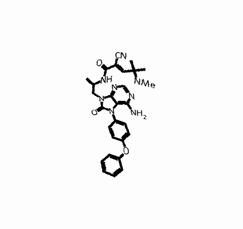 CNC(C)(C)C=C(C#N)C(=O)NC(C)Cn1c(=O)n(-c2ccc(Oc3ccccc3)cc2)c2c(N)ncnc21